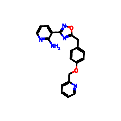 Nc1ncccc1-c1noc(Cc2ccc(OCc3ccccn3)cc2)n1